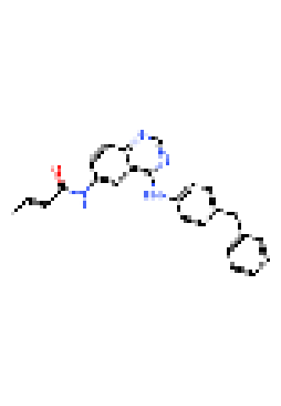 CC=CC(=O)Nc1ccc2ncnc(Nc3ccc(Cc4ccccc4)cc3)c2c1